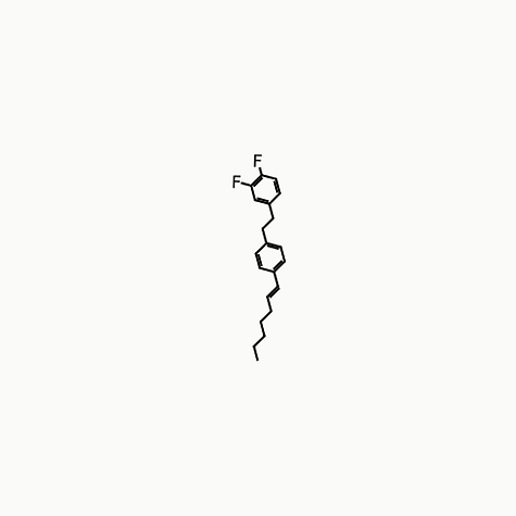 CCCCCC=Cc1ccc(CCc2ccc(F)c(F)c2)cc1